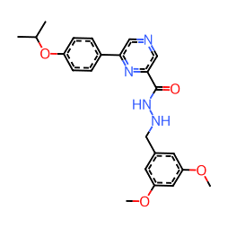 COc1cc(CNNC(=O)c2cncc(-c3ccc(OC(C)C)cc3)n2)cc(OC)c1